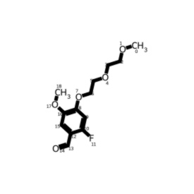 COCCOCCOc1cc(F)c(C=O)cc1OC